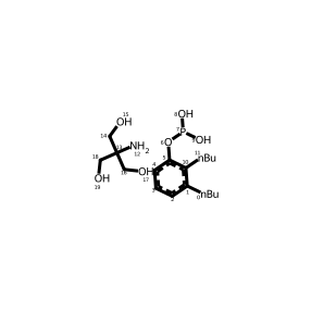 CCCCc1cccc(OP(O)O)c1CCCC.NC(CO)(CO)CO